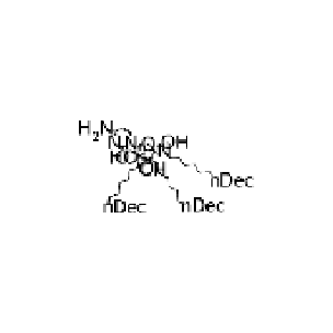 CCCCCCCCCCCCCCCCN(O)[C@H]1O[C@@H](n2ccc(N)nc2=O)[C@@](O)(CCCCCCCCCCCCCCCC)[C@@]1(O)CCCCCCCCCCCCCCCC